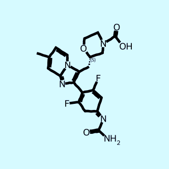 Cc1ccn2c(C[C@H]3CN(C(=O)O)CCO3)c(C3=C(F)CC(=NC(N)=O)C=C3F)nc2c1